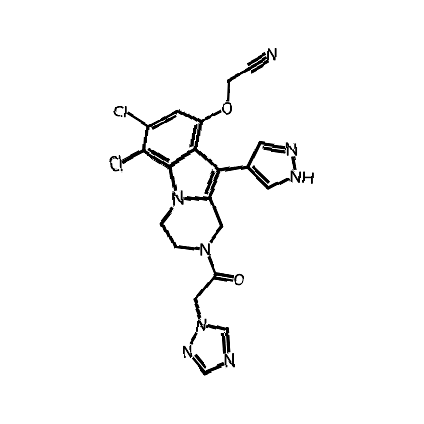 N#CCOc1cc(Cl)c(Cl)c2c1c(-c1cn[nH]c1)c1n2CCN(C(=O)Cn2cncn2)C1